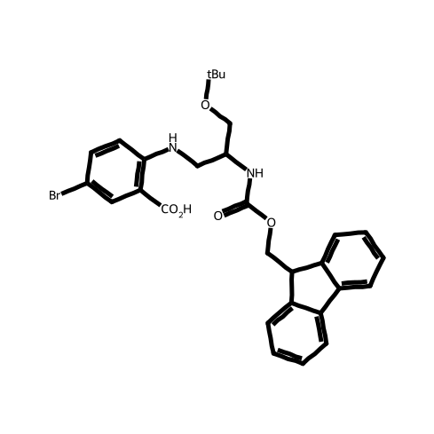 CC(C)(C)OCC(CNc1ccc(Br)cc1C(=O)O)NC(=O)OCC1c2ccccc2-c2ccccc21